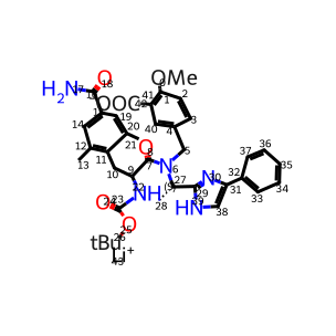 COc1ccc(CN(C(=O)C(Cc2c(C)cc(C(N)=O)cc2C)NC(=O)OC(C)(C)C)[C@@H](C)c2nc(-c3ccccc3)c[nH]2)cc1C(=O)[O-].[Li+]